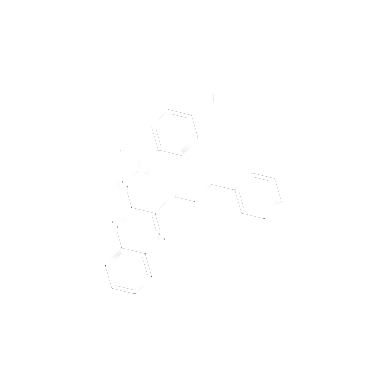 O=S(=O)(Nc1nc2ccccc2nc1OCCc1ccccc1)c1ccc(Cl)cc1